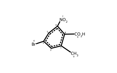 Cc1cc(Br)cc([N+](=O)[O-])c1C(=O)O